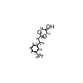 CC(C)c1cccc(C(C)CC2OCC(O)CO2)c1